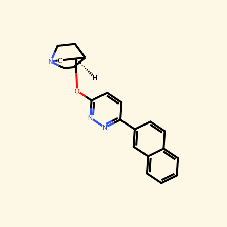 c1ccc2cc(-c3ccc(O[C@H]4CN5CCC4CC5)nn3)ccc2c1